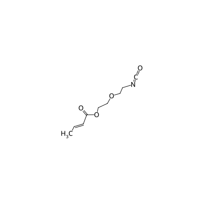 CC=CC(=O)OCCOCCN=C=O